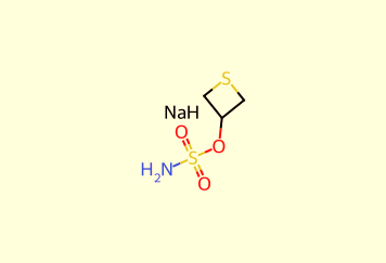 NS(=O)(=O)OC1CSC1.[NaH]